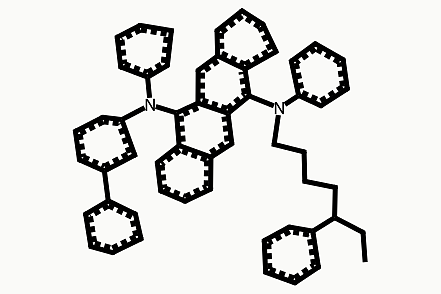 CCC(CCCCN(c1ccccc1)c1c2ccccc2cc2c(N(c3ccccc3)c3cccc(-c4ccccc4)c3)c3ccccc3cc12)c1ccccc1